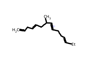 C=CCC=CCC(C)/[C]=C/CCC=CCC